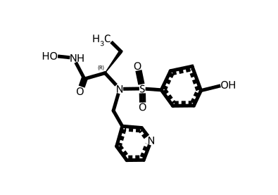 CC[C@H](C(=O)NO)N(Cc1cccnc1)S(=O)(=O)c1ccc(O)cc1